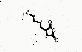 CC(C)CCCCC1CC(=O)OC1=O